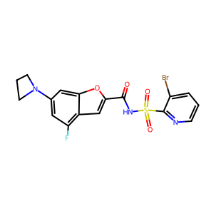 O=C(NS(=O)(=O)c1ncccc1Br)c1cc2c(F)cc(N3CCC3)cc2o1